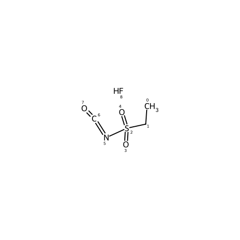 CCS(=O)(=O)N=C=O.F